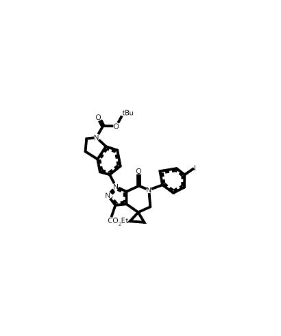 CCOC(=O)c1nn(-c2ccc3c(c2)CCN3C(=O)OC(C)(C)C)c2c1C1(CC1)CN(c1ccc(I)cc1)C2=O